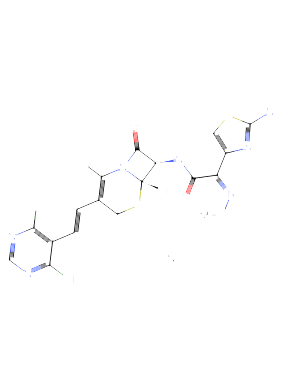 CO/N=C(\C(=O)N[C@@H]1C(=O)N2C(C(=O)[O-])=C(/C=C/c3c(Cl)ncnc3Cl)CS[C@@H]12)c1csc(N)n1.[Na+]